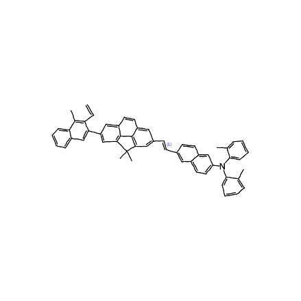 C=Cc1c(-c2cc3c4c(ccc5cc(/C=C/c6ccc7cc(N(c8ccccc8C)c8ccccc8C)ccc7c6)cc(c54)C3(C)C)c2)cc2ccccc2c1C